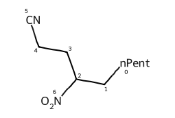 CCCCCCC(CCC#N)[N+](=O)[O-]